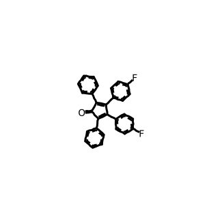 O=C1C(c2ccccc2)=C(c2ccc(F)cc2)C(c2ccc(F)cc2)=C1c1ccccc1